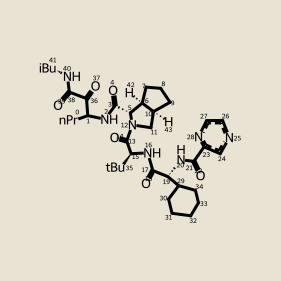 CCCC(NC(=O)[C@@H]1[C@H]2CCC[C@H]2CN1C(=O)[C@@H](NC(=O)[C@H](NC(=O)c1cnccn1)C1CCCCC1)C(C)(C)C)C(=O)C(=O)N[C@@H](C)CC